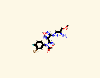 COCC(N)CNc1nonc1-c1noc(=O)n1-c1ccc(F)c(Br)c1